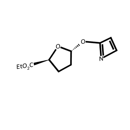 CCOC(=O)[C@@H]1CC[C@@H](OC2=NC=C2)O1